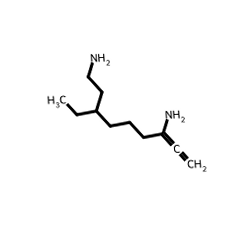 C=C=C(N)CCCC(CC)CCN